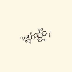 CS(=O)(=O)N[C@@H]1Cn2c(cn(-c3noc4cc(C(F)F)cc(-c5c(F)cccc5F)c34)c2=O)C1(F)F